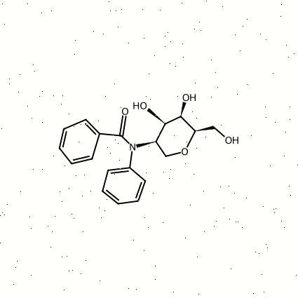 O=C(c1ccccc1)N(c1ccccc1)[C@@H]1CO[C@H](CO)[C@H](O)[C@@H]1O